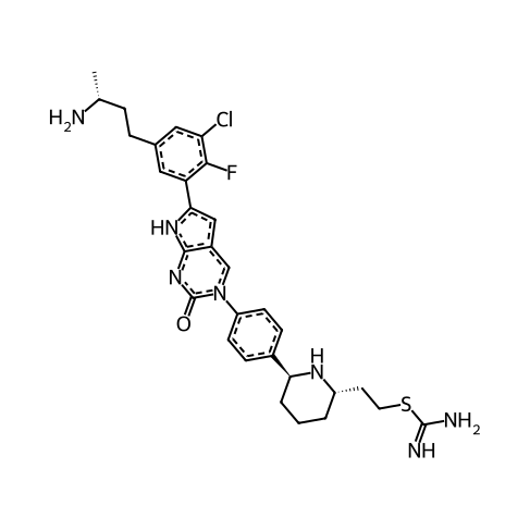 C[C@@H](N)CCc1cc(Cl)c(F)c(-c2cc3cn(-c4ccc([C@@H]5CCC[C@@H](CCSC(=N)N)N5)cc4)c(=O)nc3[nH]2)c1